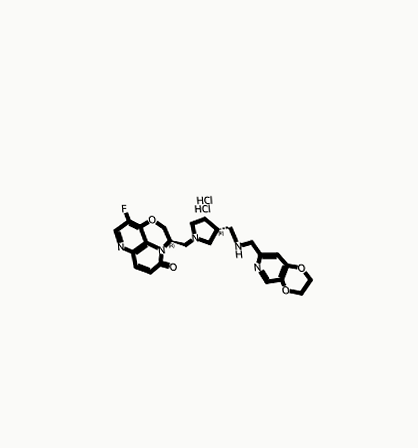 Cl.Cl.O=c1ccc2ncc(F)c3c2n1[C@H](CN1CC[C@H](CNCc2cc4c(cn2)OCCO4)C1)CO3